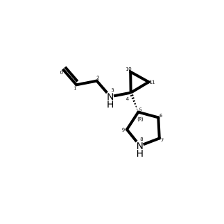 C=CCNC1([C@@H]2CCNC2)CC1